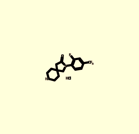 Cl.O=C1CC2(CCNCC2)CN1c1ccc(C(F)(F)F)cc1F